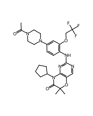 CC(=O)N1CCN(c2ccc(Nc3ncc4c(n3)N(C3CCCC3)C(=O)C(C)(C)O4)c(OCC(F)(F)F)c2)CC1